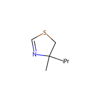 CC(C)C1(C)CSC=N1